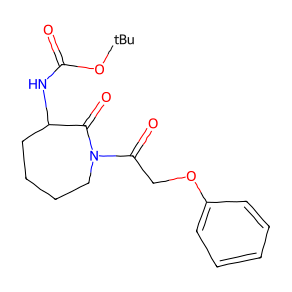 CC(C)(C)OC(=O)NC1CCCCN(C(=O)COc2ccccc2)C1=O